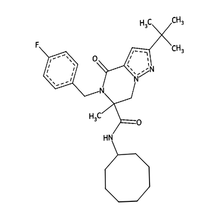 CC(C)(C)c1cc2n(n1)CC(C)(C(=O)NC1CCCCCCC1)N(Cc1ccc(F)cc1)C2=O